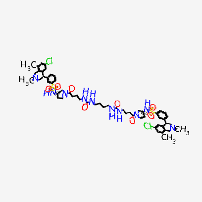 Cc1cc(Cl)cc2c1CN(C)CC2c1cccc(S(=O)(=O)N[C@H]2CCN(C(=O)CCCNC(=O)NCCCCNC(=O)NCCCC(=O)N3CC[C@H](NS(=O)(=O)c4cccc(C5CN(C)Cc6c(C)cc(Cl)cc65)c4)C3)C2)c1